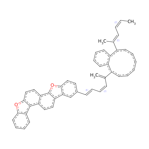 C=C(/C=C\C=C\c1ccc2oc3c(ccc4c3ccc3oc5ccccc5c34)c2c1)c1ccccccc(/C(C)=C/C=C\C)c2ccccc12